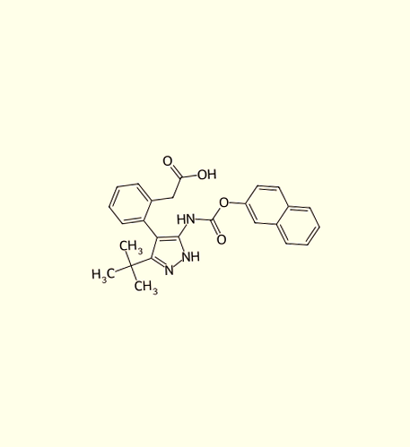 CC(C)(C)c1n[nH]c(NC(=O)Oc2ccc3ccccc3c2)c1-c1ccccc1CC(=O)O